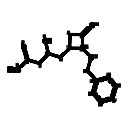 COC(=O)CC(O)CC1CC(=O)N1OCc1ccccc1